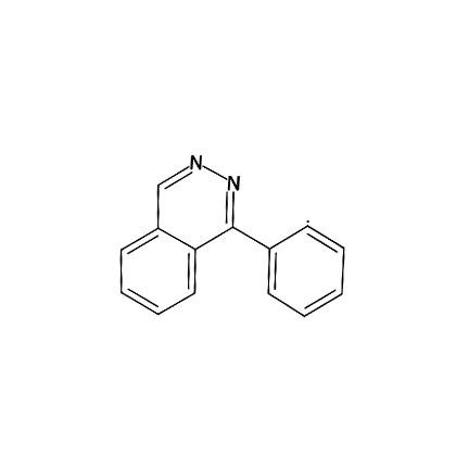 [c]1ccccc1-c1nncc2ccccc12